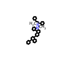 C=C(/C=C(\N=C(/C)n1c2ccccc2c2c3cc(-c4ccc(-c5ccccc5)c5ccccc45)ccc3ccc21)c1ccccc1)c1ccccc1